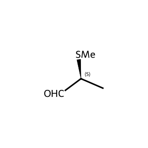 CS[C@@H](C)C=O